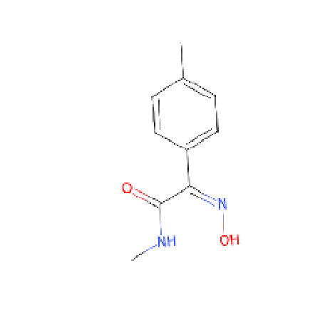 CNC(=O)C(=NO)c1ccc(C)cc1